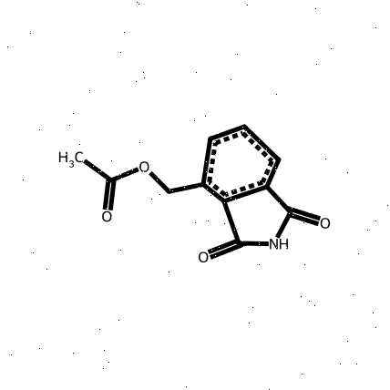 CC(=O)OCc1cccc2c1C(=O)NC2=O